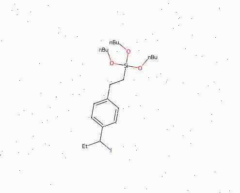 CCCCO[Si](CCc1ccc(C(I)CC)cc1)(OCCCC)OCCCC